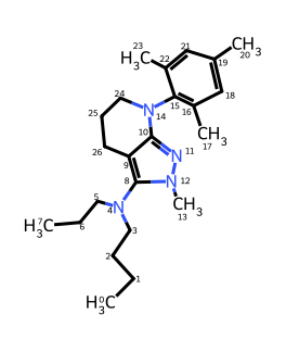 CCCCN(CCC)c1c2c(nn1C)N(c1c(C)cc(C)cc1C)CCC2